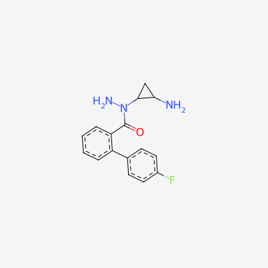 NC1CC1N(N)C(=O)c1ccccc1-c1ccc(F)cc1